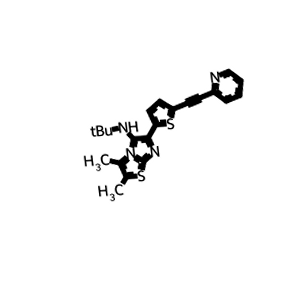 Cc1sc2nc(-c3ccc(C#Cc4ccccn4)s3)c(NC(C)(C)C)n2c1C